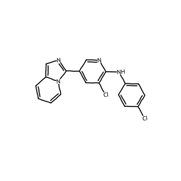 Clc1ccc(Nc2ncc(-c3ncc4ccccn34)cc2Cl)cc1